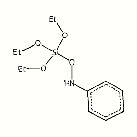 CCO[Si](OCC)(OCC)ONc1ccccc1